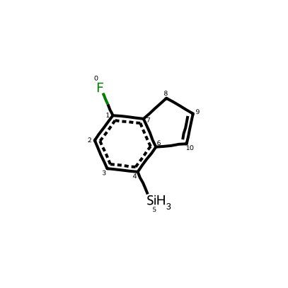 Fc1ccc([SiH3])c2c1CC=C2